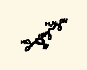 N[C@@H](CCC(=O)Nc1cc(Br)cc(C(=O)O)c1)C(=O)O